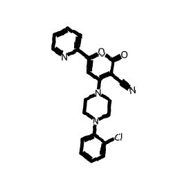 N#Cc1c(N2CCN(c3ccccc3Cl)CC2)cc(-c2ccccn2)oc1=O